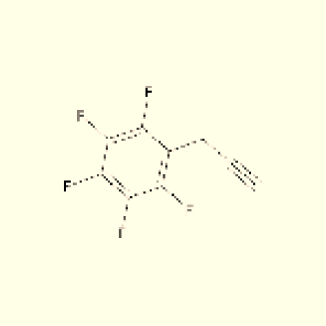 C#CCc1c(F)c(F)c(F)c(F)c1F